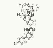 CC=CN1CCCC[C@H]1c1nc(-c2ccc(C(=O)Nc3cc(-c4ccc(Cl)cc4)ccn3)cc2)c(C(N)=O)n1N